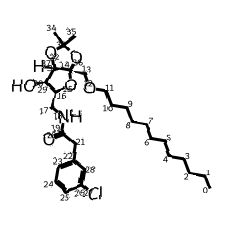 CCCCCCCCCCCCOC[C@@]12O[C@@H](CNC(=O)Cc3cccc(Cl)c3)[C@@H](O)[C@@H]1OC(C)(C)O2